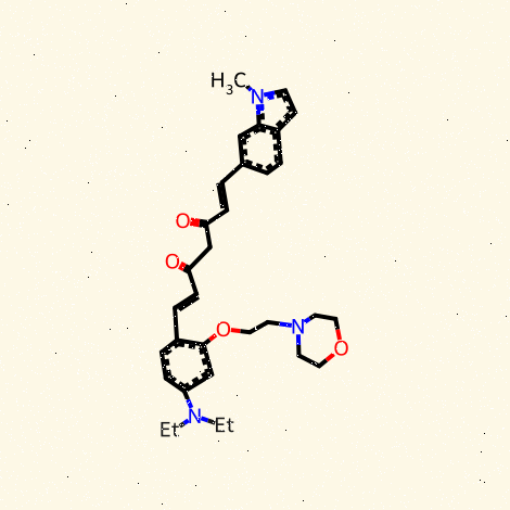 CCN(CC)c1ccc(/C=C/C(=O)CC(=O)/C=C/c2ccc3ccn(C)c3c2)c(OCCN2CCOCC2)c1